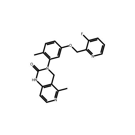 Cc1ccc(OCc2ncccc2F)cc1N1Cc2c(ccnc2C)NC1=O